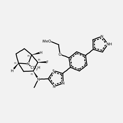 COCOc1cc(-c2cn[nH]c2)ccc1-c1nnc(N(C)[C@H]2C[C@@H]3CC[C@H]([C@H]2F)N3C(=O)O)s1